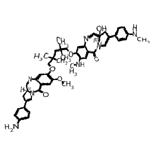 CNc1ccc(C2=CN3C(=O)c4cc(NC)c(OCC(C)(C)CC(C)(C)COc5cc6c(cc5OC)C(=O)N5C=C(c7ccc(N)cc7)C[C@H]5C=N6)cc4N=C[C@]3(O)C2)cc1